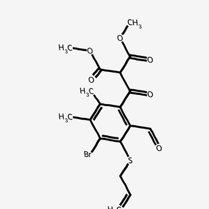 C=CCSc1c(Br)c(C)c(C)c(C(=O)C(C(=O)OC)C(=O)OC)c1C=O